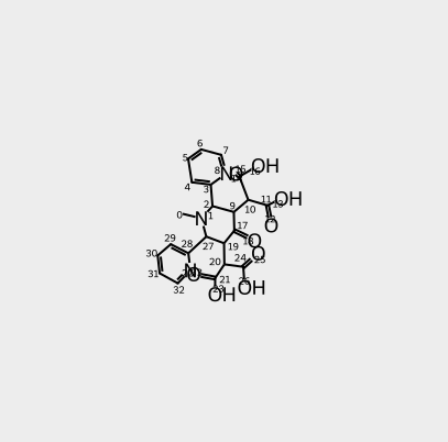 CN1C(c2ccccn2)C(C(C(=O)O)C(=O)O)C(=O)C(C(C(=O)O)C(=O)O)C1c1ccccn1